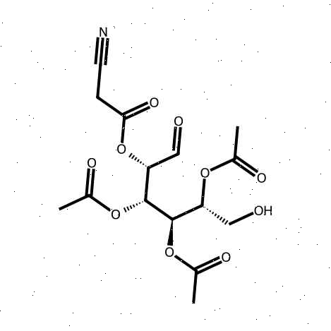 CC(=O)O[C@@H]([C@H](OC(C)=O)[C@@H](CO)OC(C)=O)[C@@H](C=O)OC(=O)CC#N